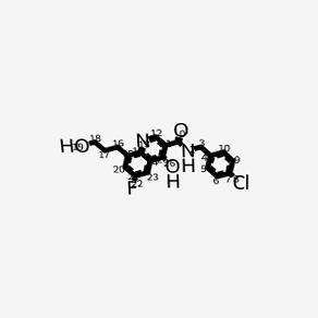 O=C(NCc1ccc(Cl)cc1)c1cnc2c(CCCO)cc(F)cc2c1O